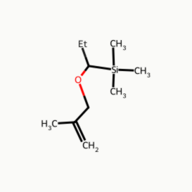 C=C(C)COC(CC)[Si](C)(C)C